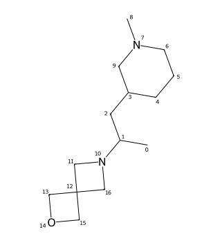 CC(CC1CCCN(C)C1)N1CC2(COC2)C1